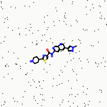 Cn1cc(-c2cnc3cnc(NC(=O)c4csc(C5CCNCC5)n4)cc3c2)cn1